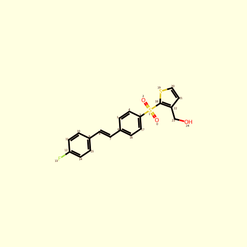 O=S(=O)(c1ccc(/C=C/c2ccc(F)cc2)cc1)c1sccc1CO